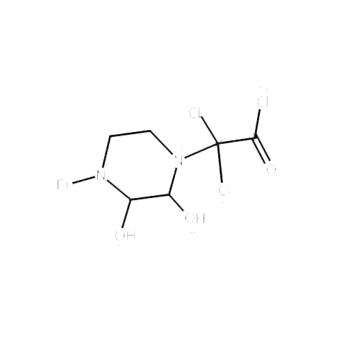 CCN1CCN(C(Cl)(Cl)C(=O)Cl)C(O)C1O